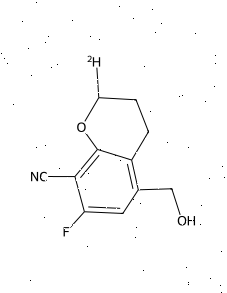 [2H]C1CCc2c(CO)cc(F)c(C#N)c2O1